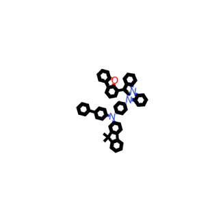 CC1(C)c2ccccc2-c2ccc(N(c3ccc(-c4ccccc4)cc3)c3ccc(-n4c5ccccc5n5c6ccccc6c(-c6cccc7c6oc6ccccc67)c45)cc3)cc21